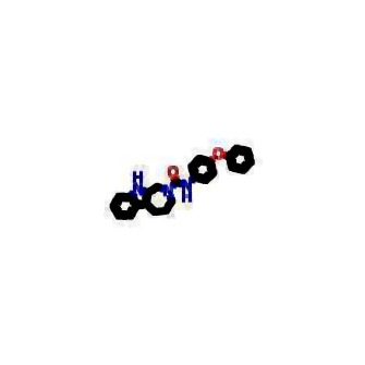 O=C(Nc1ccc(Oc2ccccc2)cc1)N1CCCc2c([nH]c3ccccc23)C1